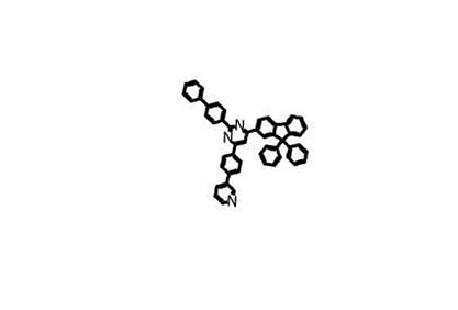 c1ccc(-c2ccc(-c3nc(-c4ccc(-c5cccnc5)cc4)cc(-c4ccc5c(c4)C(c4ccccc4)(c4ccccc4)c4ccccc4-5)n3)cc2)cc1